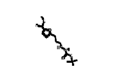 COC(=O)c1ccc(CCCNNC(=O)OC(C)(C)C)o1